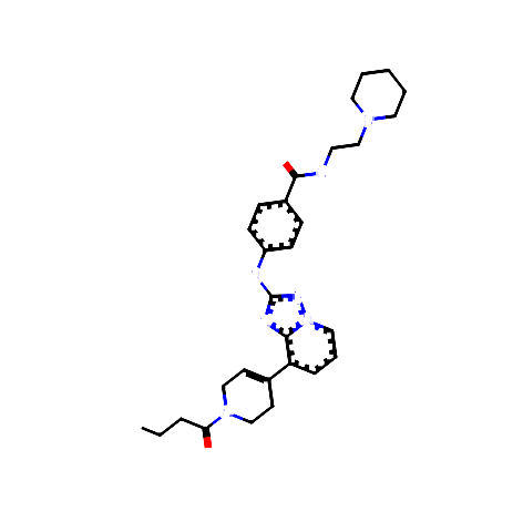 O=C(NCCN1CCCCC1)c1ccc(Nc2nc3c(C4=CCN(C(=O)CCC(F)(F)F)CC4)cccn3n2)cc1